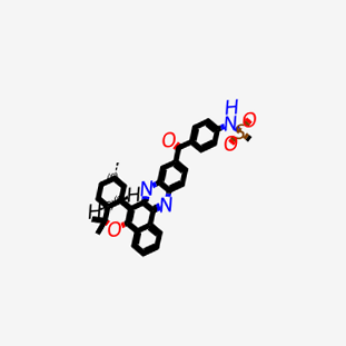 C[C@H]1CC[C@H]2[C@H](C1)c1c(c3ccccc3c3nc4ccc(C(=O)c5ccc(NS(C)(=O)=O)cc5)cc4nc13)OC2(C)C